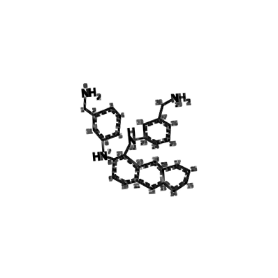 NCc1cccc(Nc2ccc3cc4ccccc4cc3c2Nc2cccc(CN)c2)c1